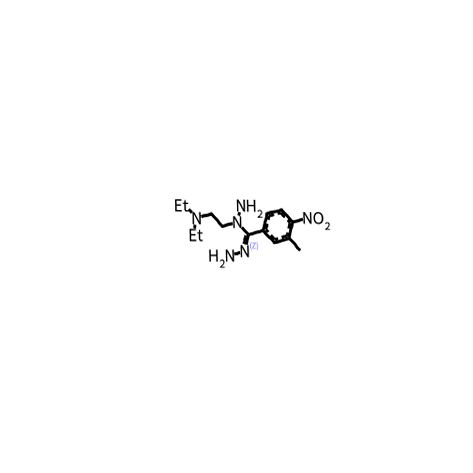 CCN(CC)CCN(N)/C(=N\N)c1ccc([N+](=O)[O-])c(C)c1